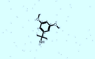 COc1cc(OC)cc(C(C)(C)[NH])c1